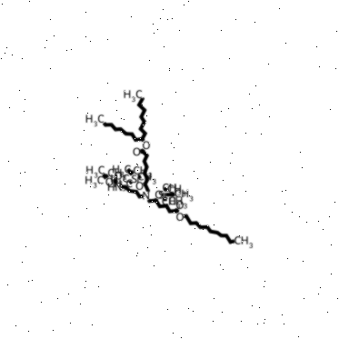 CCCCCCCCCCCOC(=O)CCCC(CN(CCCCNC(=O)OC(C)(C)C)CC(CCCCCC(=O)OC(CCCCCCCC)CCCCCCCC)O[Si](C)(C)C(C)(C)C)O[Si](C)(C)C(C)(C)C